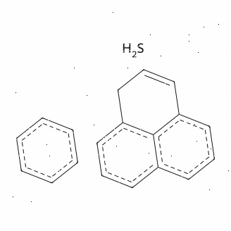 C1=Cc2cccc3cccc(c23)C1.S.c1ccccc1